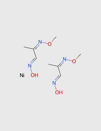 CON=C(C)C=NO.CON=C(C)C=NO.[Ni]